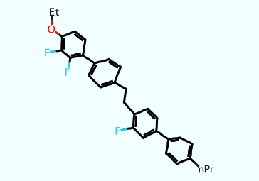 CCCc1ccc(-c2ccc(CCc3ccc(-c4ccc(OCC)c(F)c4F)cc3)c(F)c2)cc1